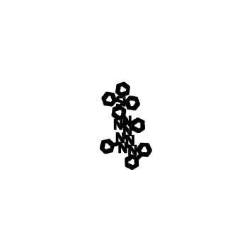 c1ccc(-c2nc(-n3c4ccccc4c4ccccc43)nc(-n3c4ccccc4n4c5cc([Si](c6ccccc6)(c6ccccc6)c6ccccc6)ccc5nc34)n2)cc1